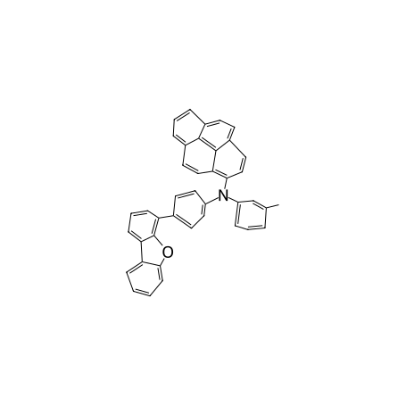 Cc1cccc(N(c2ccc(-c3cccc4c3oc3ccccc34)cc2)c2ccc3ccc4cccc5ccc2c3c45)c1